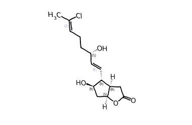 C/C(Cl)=C/CC[C@H](O)/C=C/[C@@H]1[C@H]2CC(=O)O[C@H]2C[C@H]1O